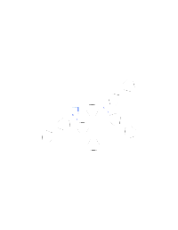 Clc1ccc(-n2c3ccc(-c4ccccc4)cc3c3cc(-c4ccccc4)ccc32)cc1-c1cc(-c2ccccc2)cc2c1[nH]c1ccc(-c3ccccc3)cc12